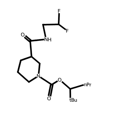 CCCC(OC(=O)N1CCCC(C(=O)NCC(F)F)C1)C(C)(C)C